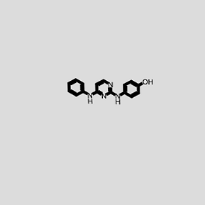 Oc1ccc(Nc2nccc(Nc3ccccc3)n2)cc1